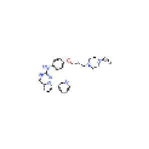 CN1CCN(CCCOc2ccc(Nc3ncc4ccc(-c5cccnc5)n4n3)cc2)CC1